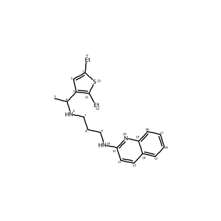 CCc1cc(C(C)NCCCNc2ccc3ccccc3n2)c(CC)s1